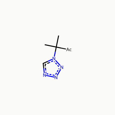 CC(=O)C(C)(C)n1cnnn1